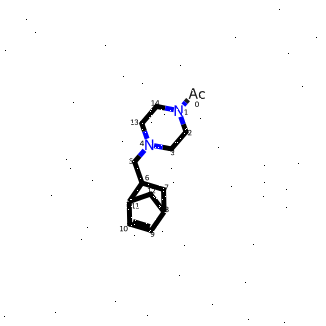 CC(=O)N1CCN(CC2CC3C=CC2C3)CC1